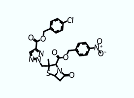 CC1(Cn2ncc(C(=O)OCc3ccc(Cl)cc3)n2)SC2CC(=O)N2C1C(=O)OCc1ccc([N+](=O)[O-])cc1